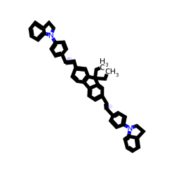 CCC1(CC)c2cc(/C=C/c3ccc(N4CCc5ccccc54)cc3)ccc2-c2ccc(/C=C/c3ccc(N4CCc5ccccc54)cc3)cc21